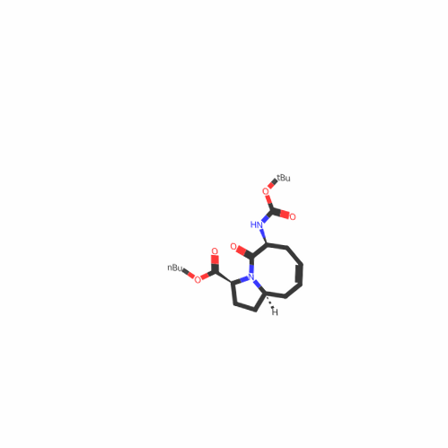 CCCCOC(=O)[C@@H]1CC[C@@H]2C/C=C\C[C@H](NC(=O)OC(C)(C)C)C(=O)N21